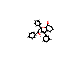 O=C1CCCC2=C1OC(CC(=O)c1ccccc1)(c1ccccc1)C=C2c1ccccc1